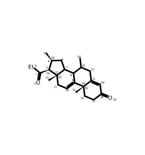 CCC(=O)[C@H]1[C@@H](C)CC2C3C(=CC[C@@]21C)[C@@]1(C)CCC(=O)C=C1CC3C